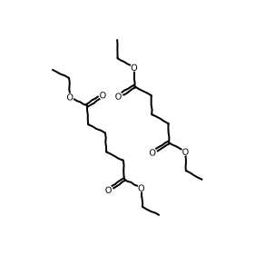 CCOC(=O)CCCC(=O)OCC.CCOC(=O)CCCCC(=O)OCC